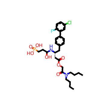 CCCCN(CCCC)C(=O)COC(=O)C[C@@H](Cc1ccc(-c2cc(Cl)ccc2F)cc1)NC(O)CCP(=O)(O)O